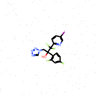 OC(Cn1cnnn1)(c1ccc(F)cc1F)C(F)(F)c1ccc(I)cn1